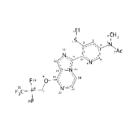 CCSc1cc(N(C)C(C)=O)cnc1-c1ncc2c(OCC(F)(F)C(F)(F)F)nccn12